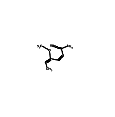 C/C=C(\C=C/C(C)=N)OC(F)(F)F